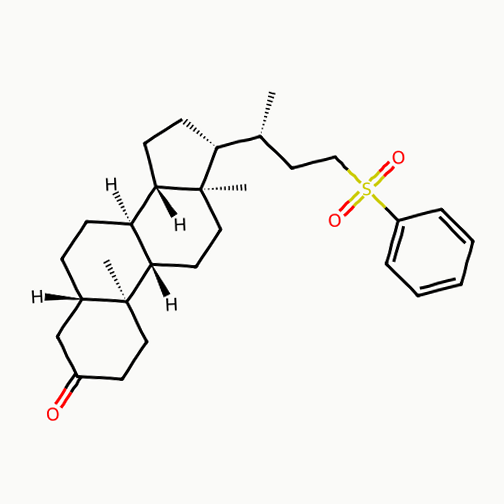 C[C@H](CCS(=O)(=O)c1ccccc1)[C@H]1CC[C@H]2[C@@H]3CC[C@H]4CC(=O)CC[C@]4(C)[C@H]3CC[C@]12C